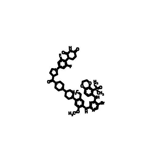 CCc1cc(Nc2ncc(Br)c(Nc3ccc4c(c3P(C)(C)=O)OCCO4)n2)c(OC)cc1N1CCC(N2CCN(C(=O)C3CCN(c4cc(F)c(C5CCC(=O)NC5=O)c(F)c4)C3)CC2)CC1